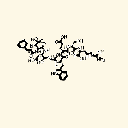 N=C(N)NCCC[C@H](NC(=O)[C@H](CO)NC(=O)[C@H](CCC(=O)O)NC(=O)[C@H](Cc1c[nH]c2ccccc12)NC(=O)CNC(=O)[C@H](CC(=O)O)NC(=O)[C@H](CC(=O)O)NC(=O)[C@@H](N)Cc1ccccc1)C(=O)O